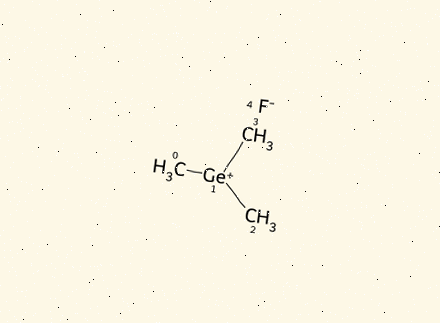 [CH3][Ge+]([CH3])[CH3].[F-]